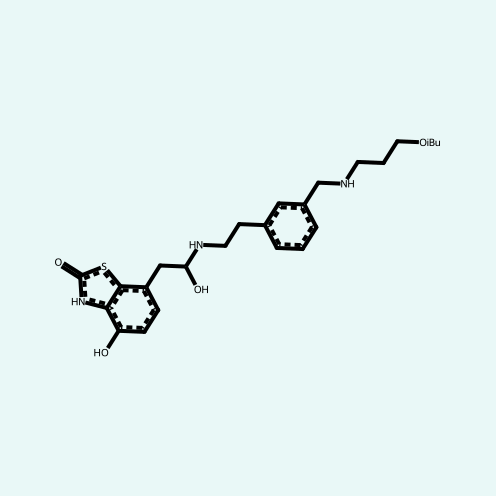 CC(C)COCCCNCc1cccc(CCNC(O)Cc2ccc(O)c3[nH]c(=O)sc23)c1